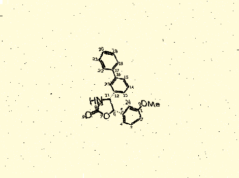 COc1cccc([C@@H]2OC(=O)N[C@@H]2c2cccc(-c3ccccc3)c2)c1